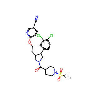 CS(=O)(=O)N1CCC(C(=O)N2CC(CCOc3ccc(C#N)cn3)C(c3ccc(Cl)c(Cl)c3)C2)CC1